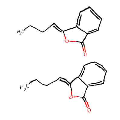 CCCC=C1OC(=O)c2ccccc21.CCCC=C1OC(=O)c2ccccc21